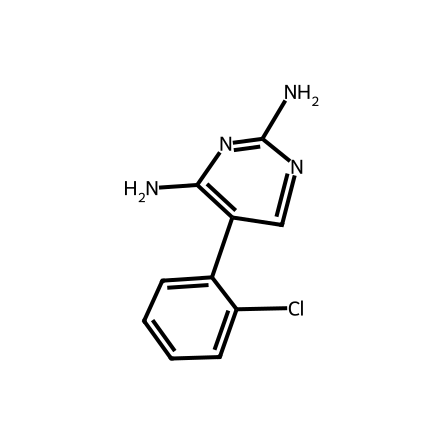 Nc1ncc(-c2ccccc2Cl)c(N)n1